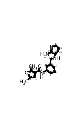 Cc1cc(C(=O)Nc2cccc(CNc3cccnc3N)c2)c(C)o1